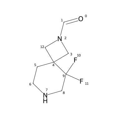 O=CN1CC2(CCNCC2(F)F)C1